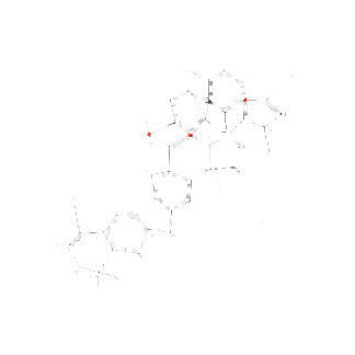 Cl.Cl.[CH2]=[Zr]([C]1=CC(C(C)(C)C)=CC1C)([c]1cccc(Cl)c1)([c]1cccc(Cl)c1)[CH]1C=C(C)c2cc3c(cc2C1(C)C)Cc1cc2c(cc1-3)C(C)=CCC2(C)C